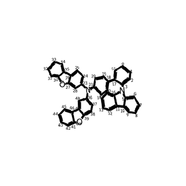 c1ccc(-n2c3ccccc3c3ccccc32)c(-c2ccc(N(c3ccc4c(c3)oc3ccccc34)c3ccc4oc5ccccc5c4c3)cc2)c1